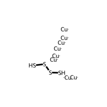 SSSS.[Cu].[Cu].[Cu].[Cu].[Cu].[Cu].[Cu].[Cu]